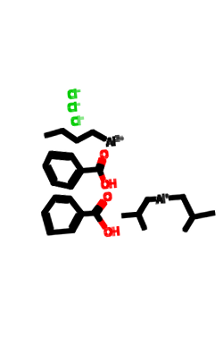 CC(C)[CH2][Al+][CH2]C(C)C.CCC[CH2][Al+2].O=C(O)c1ccccc1.O=C(O)c1ccccc1.[Cl-].[Cl-].[Cl-]